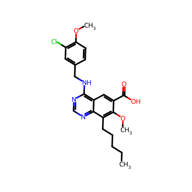 CCCCCc1c(OC)c(C(=O)O)cc2c(NCc3ccc(OC)c(Cl)c3)ncnc12